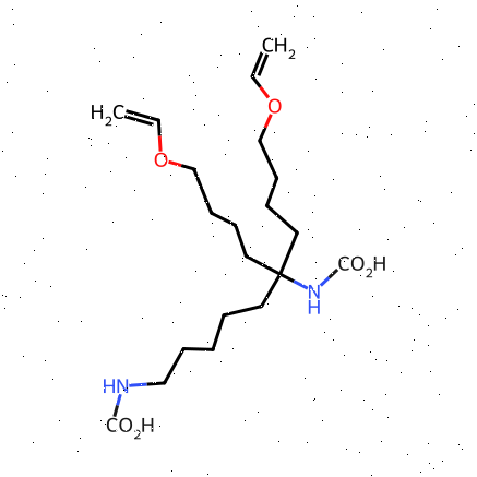 C=COCCCCC(CCCCCNC(=O)O)(CCCCOC=C)NC(=O)O